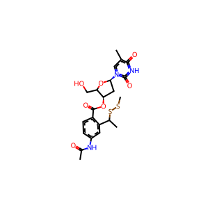 CSSC(C)c1cc(NC(C)=O)ccc1C(=O)O[C@@H]1C[C@H](n2cc(C)c(=O)[nH]c2=O)OC1CO